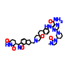 CN1CCN([C@@H]2CCCN(c3cnc(C(N)=O)c(Nc4ccc5c(c4)CCC4(CCN(C[C@@H]6Cc7ccc8c(C9CCC(=O)NC9=O)noc8c7C6)CC4)O5)n3)C2)C1=O